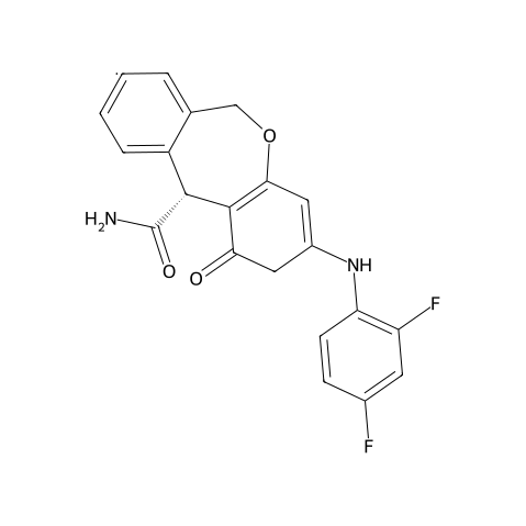 NC(=O)[C@H]1C2=C(C=C(Nc3ccc(F)cc3F)CC2=O)OCc2c[c]ccc21